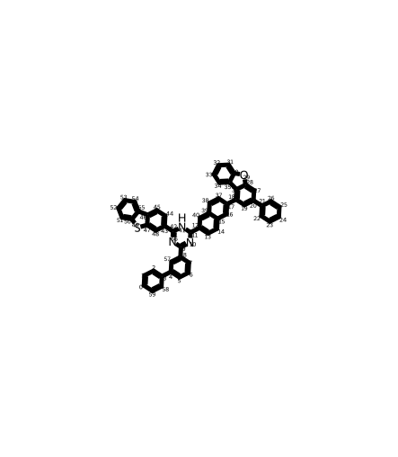 c1ccc(-c2cccc(C3=NC(c4ccc5cc(-c6cc(-c7ccccc7)cc7oc8ccccc8c67)ccc5c4)NC(c4ccc5c(c4)sc4ccccc45)=N3)c2)cc1